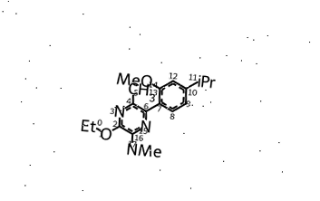 CCOc1nc(C)c(-c2ccc(C(C)C)cc2OC)nc1NC